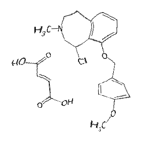 COc1ccc(COc2cccc3c2C(Cl)CN(C)CC3)cc1.O=C(O)C=CC(=O)O